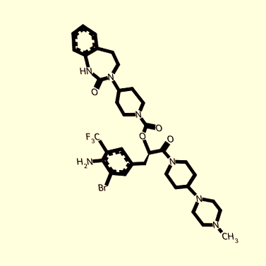 CN1CCN(C2CCN(C(=O)[C@@H](Cc3cc(Br)c(N)c(C(F)(F)F)c3)OC(=O)N3CCC(N4CCc5ccccc5NC4=O)CC3)CC2)CC1